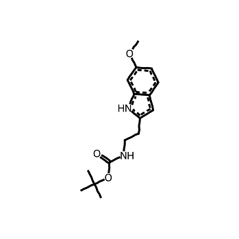 COc1ccc2cc(CCNC(=O)OC(C)(C)C)[nH]c2c1